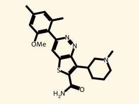 COc1cc(C)cc(C)c1-c1cc2sc(C(N)=O)c(C3CCCN(C)C3)c2nn1